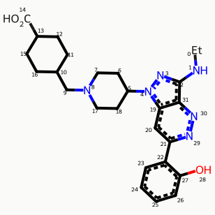 CCNc1nn(C2CCN(CC3CCC(C(=O)O)CC3)CC2)c2cc(-c3ccccc3O)nnc12